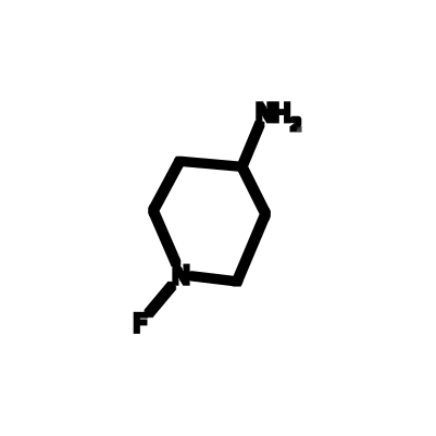 NC1CCN(F)CC1